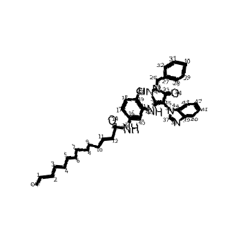 CCCCCCCCCCCCCC(=O)Nc1ccc(Cl)c(Nc2[nH]n(Cc3ccccc3)c(=O)c2-n2cnc3ccccc32)c1